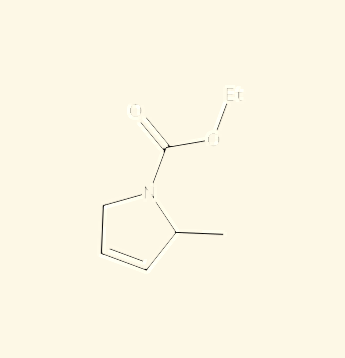 CCOC(=O)N1CC=CC1C